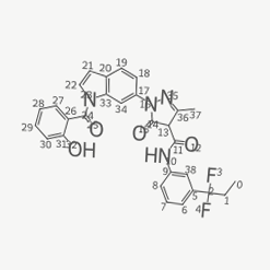 CCC(F)(F)c1cccc(NC(=O)C2C(=O)N(c3ccc4ccn(C(=O)c5ccccc5O)c4c3)N=C2C)c1